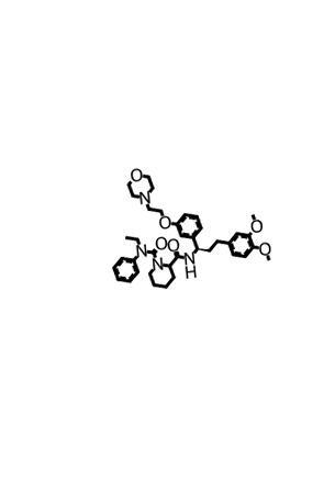 CCN(C(=O)N1CCCCC1C(=O)N[C@H](CCc1ccc(OC)c(OC)c1)c1cccc(OCCN2CCOCC2)c1)c1ccccc1